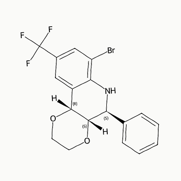 FC(F)(F)c1cc(Br)c2c(c1)[C@H]1OCCO[C@H]1[C@H](c1ccccc1)N2